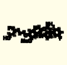 COc1cc2c(NC3=C[N+](CC(N)=O)(c4cccc(F)c4)N=C3)ncnc2cc1OCCCN(CCO)C(C)C